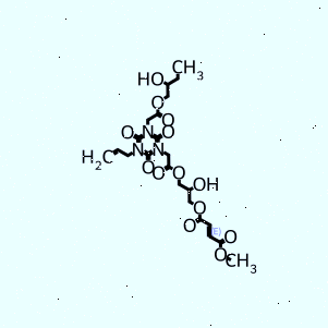 C=CCn1c(=O)n(CC(=O)OCC(O)CC)c(=O)n(CC(=O)OCC(O)COC(=O)/C=C/C(=O)OC)c1=O